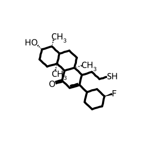 C[C@@H]1C2CC[C@@]3(C)C(CCS)C(C4CCC[C@H](F)C4)=CC(=O)C3[C@@]2(C)CC[C@@H]1O